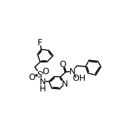 O=C(c1cc(NS(=O)(=O)Cc2cccc(F)c2)ccn1)N(O)Cc1ccccc1